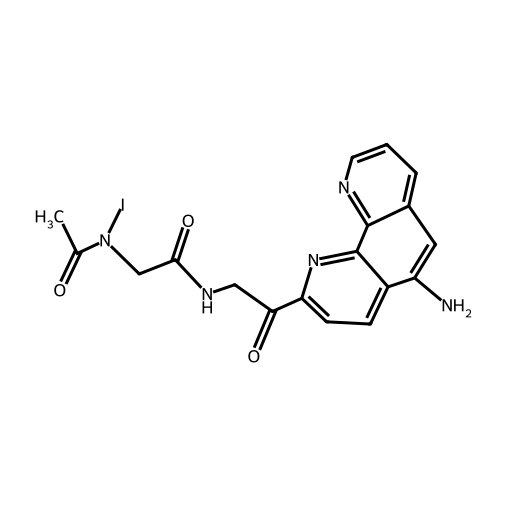 CC(=O)N(I)CC(=O)NCC(=O)c1ccc2c(N)cc3cccnc3c2n1